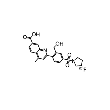 Cc1cc(-c2ccc(S(=O)(=O)N3CC[C@H](F)C3)cc2CO)nc2cc(C(=O)O)ccc12